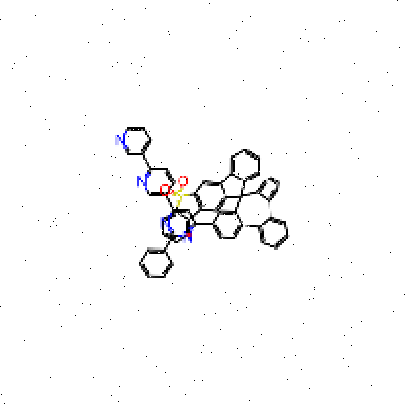 O=S1(=O)c2ccccc2-c2cc3c(cc21)-c1ccccc1C31c2ccccc2-c2ccccc2-c2ccc(-c3cc(-c4ccc(-c5cccnc5)nc4)nc(-c4ccccc4)n3)cc21